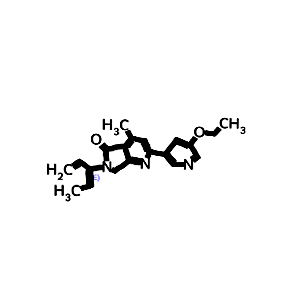 C=C/C(=C\C)N1Cc2nc(-c3cncc(OCC)c3)cc(C)c2C1=O